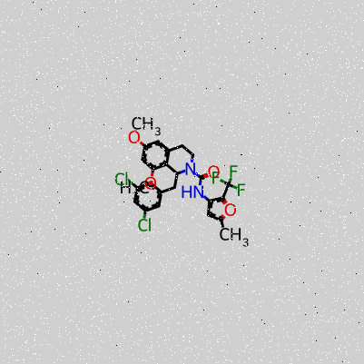 COc1cc2c(c(OC)c1)C(Cc1cc(Cl)cc(Cl)c1)N(C(=O)Nc1cc(C)oc1C(F)(F)F)CC2